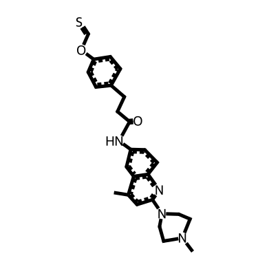 Cc1cc(N2CCN(C)CC2)nc2ccc(NC(=O)CCc3ccc(OC=S)cc3)cc12